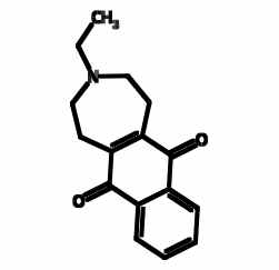 CCN1CCC2=C(CC1)C(=O)c1ccccc1C2=O